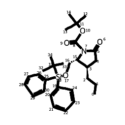 CCC[C@@H]1CC(=O)N(C(=O)OC(C)(C)C)[C@H]1CO[Si](c1ccccc1)(c1ccccc1)C(C)(C)C